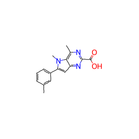 Cc1cccc(-c2cc3nc(C(=O)O)nc(C)c3n2C)c1